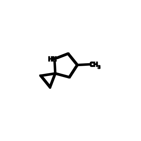 CC1CNC2(CC2)C1